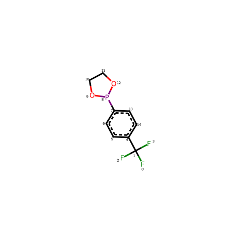 FC(F)(F)c1ccc(P2OCCO2)cc1